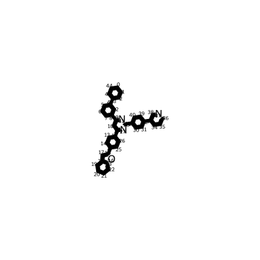 c1ccc(-c2cccc(-c3cc(-c4ccc(-c5cc6ccccc6o5)cc4)nc(-c4ccc(-c5cccnc5)cc4)n3)c2)cc1